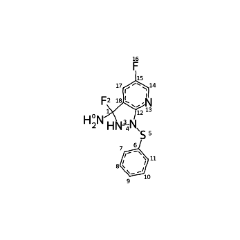 NC1(F)NN(Sc2ccccc2)c2ncc(F)cc21